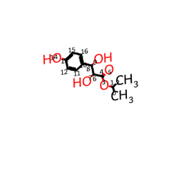 CC(C)OC(=O)C(O)C(O)c1ccc(O)cc1